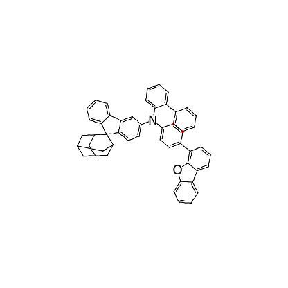 c1ccc(-c2ccccc2N(c2ccc(-c3cccc4c3oc3ccccc34)cc2)c2ccc3c(c2)-c2ccccc2C32C3CC4CC(C3)CC2C4)cc1